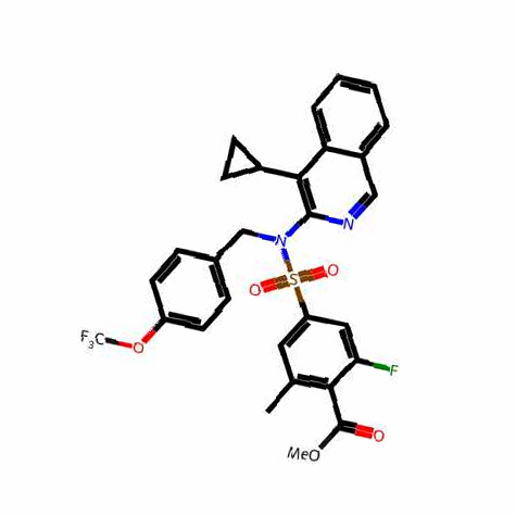 COC(=O)c1c(C)cc(S(=O)(=O)N(Cc2ccc(OC(F)(F)F)cc2)c2ncc3ccccc3c2C2CC2)cc1F